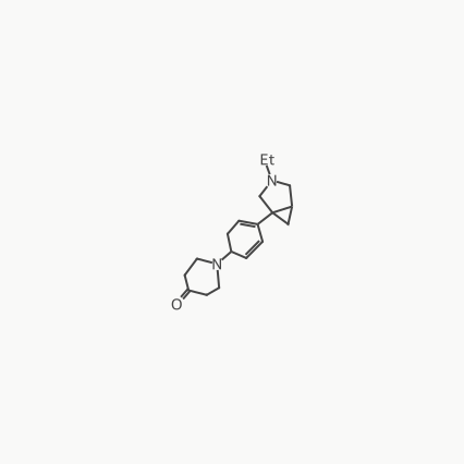 CCN1CC2CC2(C2=CCC(N3CCC(=O)CC3)C=C2)C1